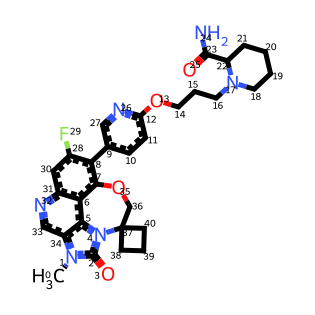 Cn1c(=O)n2c3c4c(c(-c5ccc(OCCCN6CCCCC6C(N)=O)nc5)c(F)cc4ncc31)OCC21CCC1